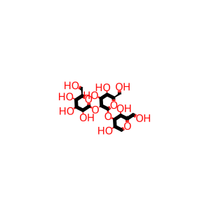 OC[C]1OC[C@H](O)[C@@H](O[C@@H]2O[C@H](CO)[C@@H](O)[C@H](O)[C@H]2O[C@@H]2O[C@H](CO)[C@@H](O)[C@H](O)[C@H]2O)[C@@H]1O